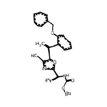 C=C(c1ccccc1OCc1ccccc1)c1oc(C(NC(=O)OC(C)(C)C)C(C)C)nc1C#N